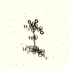 CC[C@H]1O[C@@H](n2cc(C)c(=O)[nH]c2=O)[C@@H](OCCCCCCNC(=O)CCCCO[C@@H]2C[C@H](COC(=O)c3ccccc3)[C@H](OC(=O)c3ccccc3)[C@H](OC(=O)c3ccccc3)[C@H]2C)C1O